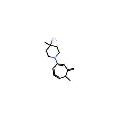 C=C1C=C(N2CCC(C)(N)CC2)C=C=CC1C